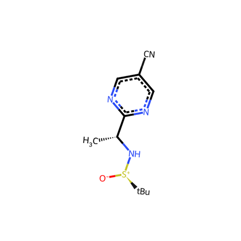 C[C@@H](N[S@+]([O-])C(C)(C)C)c1ncc(C#N)cn1